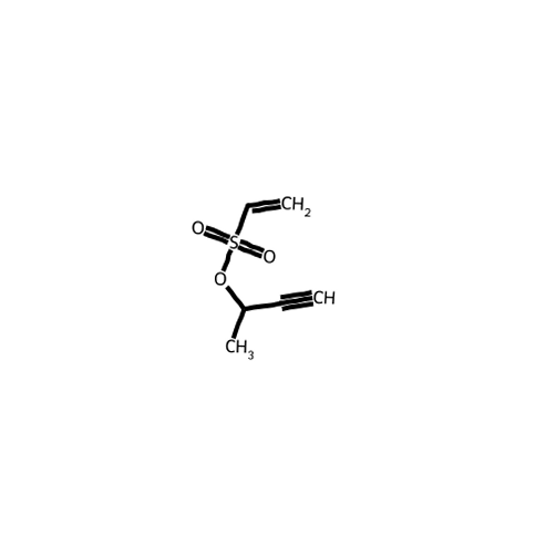 C#CC(C)OS(=O)(=O)C=C